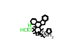 C[CH](C)[Zr](=[SiH2])([C]1=CC=CC1)([CH](C)C)[C]1(C)C2=C3Cc4ccccc4C3=C3C=CCCC3C2(C)C(C)(C)C(C)(C)C1(C)C.Cl.Cl